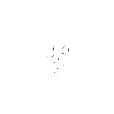 COc1cccc(-c2c(C#N)c(N)nc3c2CCc2[nH]ncc2-3)c1